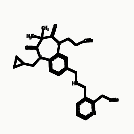 COCCN1C(=O)C(C)(C)C(=O)N(CC2CC2)c2ccc(CNCc3cccnc3COC)cc21